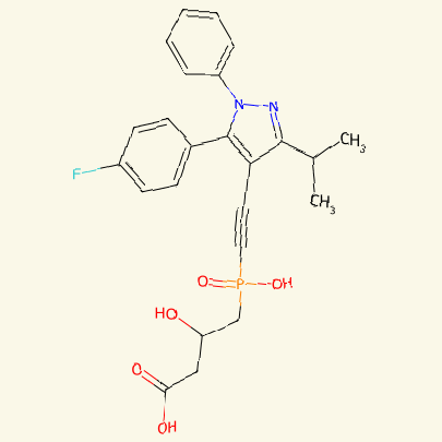 CC(C)c1nn(-c2ccccc2)c(-c2ccc(F)cc2)c1C#CP(=O)(O)CC(O)CC(=O)O